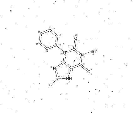 CCCn1c(=O)c2[nH]c(C)nc2n(-c2ccccc2)c1=O